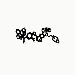 COc1cc2c(Oc3ccc(NS(=O)(=O)c4c(Cl)cccc4Cl)cc3F)ccnc2cc1OCCN1CCOCC1